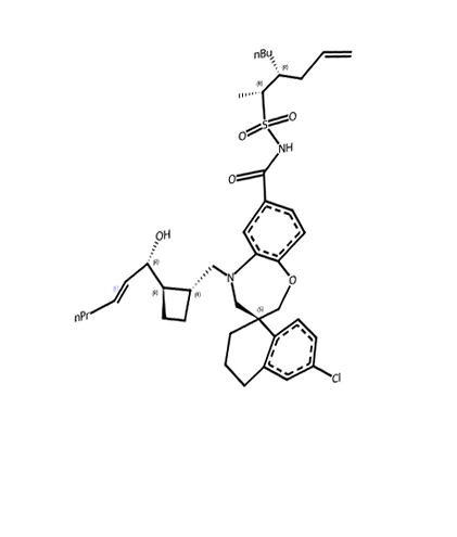 C=CC[C@@H](CCCC)[C@@H](C)S(=O)(=O)NC(=O)c1ccc2c(c1)N(C[C@@H]1CC[C@H]1[C@@H](O)/C=C/CCC)C[C@@]1(CCCc3cc(Cl)ccc31)CO2